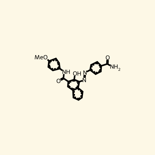 COc1ccc(NC(=O)c2cc3ccccc3c(N=Nc3ccc(C(N)=O)cc3)c2O)cc1